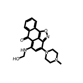 CN1CCN(c2cc(NCO)c3c4c(onc24)-c2ccccc2C3=O)CC1